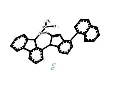 CCCCCC1=Cc2c(-c3cccc4ccccc34)cccc2C1c1cccc2c1[CH]([Zr+2][SiH](C)C)c1ccccc1-2.[Cl-].[Cl-]